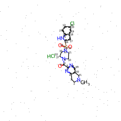 CN1CCc2nc(C(=O)N3CCN(S(=O)(=O)c4cc5cc(Cl)ccc5[nH]4)CC3)ncc2C1.Cl